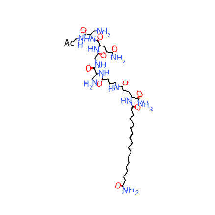 CC(=O)CNC(=O)C(CN)NC(=O)[C@H](CCC(N)=O)NC(=O)CNC(=O)[C@H](CN)NC(=O)CCCNC(=O)CCC(NC(=O)CCCCCCCCCCCCCCCCC(N)=O)C(N)=O